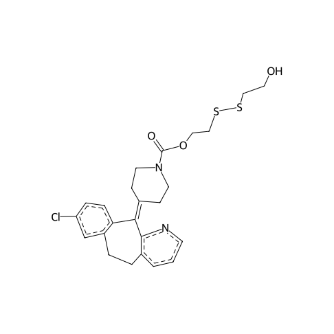 O=C(OCCSSCCO)N1CCC(=C2c3ccc(Cl)cc3CCc3cccnc32)CC1